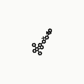 CC1(C)c2cc(-c3cn4ccccc4n3)ccc2-c2ccc(-c3ccc4c5c(cccc35)-c3c-4c(-c4ccccc4)c4ccccc4c3-c3ccccc3)cc21